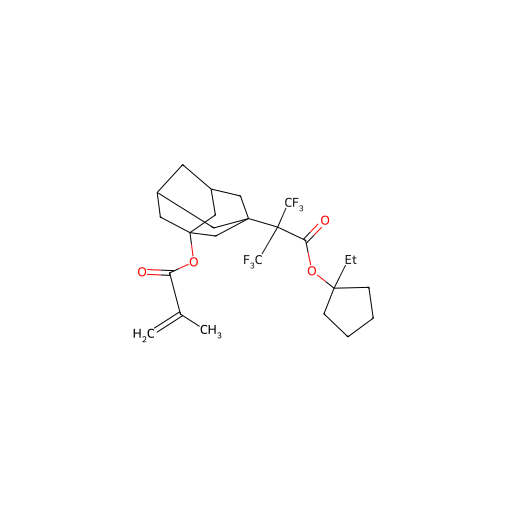 C=C(C)C(=O)OC12CC3CC(C1)CC(C(C(=O)OC1(CC)CCCC1)(C(F)(F)F)C(F)(F)F)(C3)C2